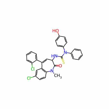 CN1C(=O)C(NC(=S)N(c2ccccc2)c2ccc(O)cc2)C=C(c2ccccc2Cl)c2cc(Cl)ccc21